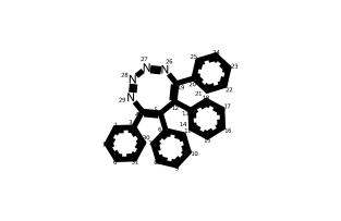 c1ccc(C2=C(c3ccccc3)C(c3ccccc3)=C(c3ccccc3)N=NN=N2)cc1